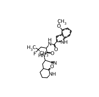 COc1cccc2[nH]c(C(=O)NC(CC(C)(C)F)C(=O)NC(C#N)CC3CCCNC3=O)cc12